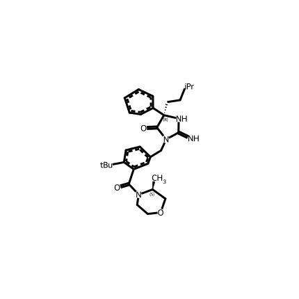 CC(C)CC[C@]1(c2ccccc2)NC(=N)N(Cc2ccc(C(C)(C)C)c(C(=O)N3CCOC[C@@H]3C)c2)C1=O